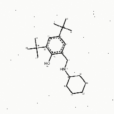 CC(C)(C)c1cc(CNC2CCCCC2)c(O)c(C(C)(C)C)c1